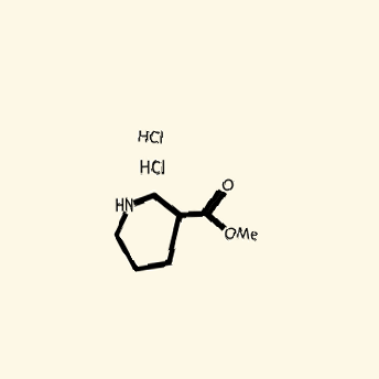 COC(=O)C1CCCNC1.Cl.Cl